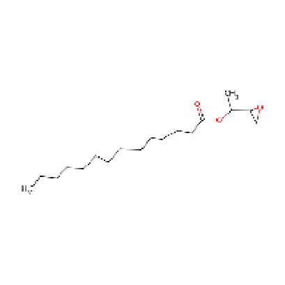 CCCCCCCCCCCCCC(=O)OC(C)C1CO1